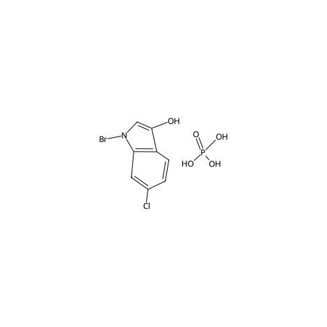 O=P(O)(O)O.Oc1cn(Br)c2cc(Cl)ccc12